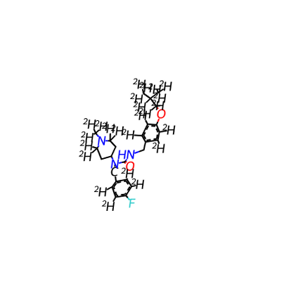 [2H]c1c([2H])c(CN(C(=O)NCc2c([2H])c([2H])c(OC([2H])([2H])C([2H])(C([2H])([2H])[2H])C([2H])([2H])[2H])c([2H])c2[2H])C2CC([2H])([2H])N(C([2H])([2H])[2H])C([2H])([2H])C2)c([2H])c([2H])c1F